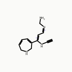 C#CN/C(=C\C=N/CN)C1=CC=CCNC1